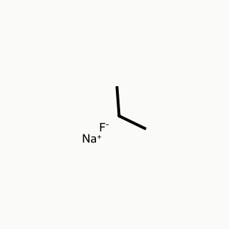 CCC.[F-].[Na+]